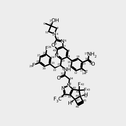 CC1(O)CN(c2nc3cc(-c4ccc(F)c(C(N)=O)c4)c([C@H](Cc4cc(F)cc(F)c4)NC(=O)Cn4nc(C(F)(F)F)c5c4C(F)(F)[C@@H]4C#C[C@H]54)nc3o2)C1